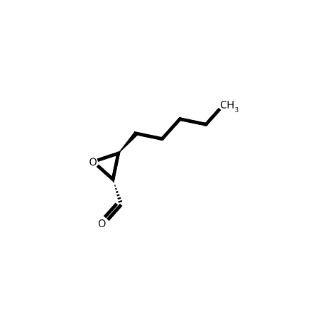 CCCCC[C@@H]1O[C@H]1C=O